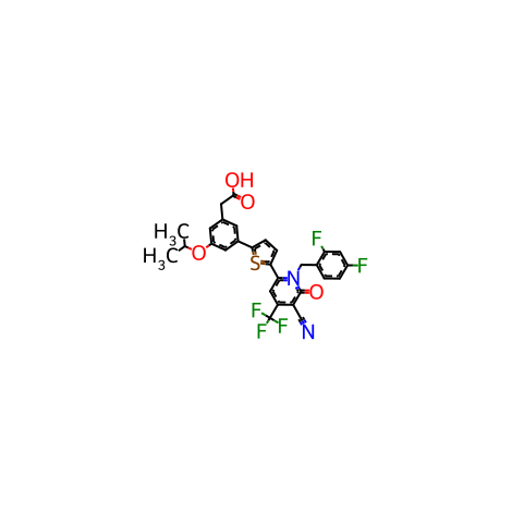 CC(C)Oc1cc(CC(=O)O)cc(-c2ccc(-c3cc(C(F)(F)F)c(C#N)c(=O)n3Cc3ccc(F)cc3F)s2)c1